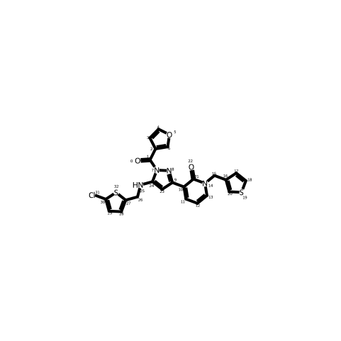 O=C(c1ccoc1)n1nc(-c2cccn(Cc3ccsc3)c2=O)cc1NCc1ccc(Cl)s1